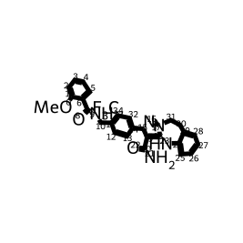 COc1ccccc1C(=O)NCc1ccc(-c2nn3c(c2C(N)=O)Nc2ccccc2CC3)cc1C(F)(F)F